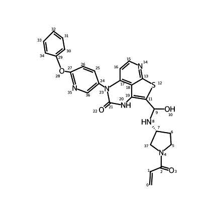 C=CC(=O)N1CC[C@@H](NC(O)c2sc3nccc4c3c2NC(=O)N4c2ccc(Oc3ccccc3)nc2)C1